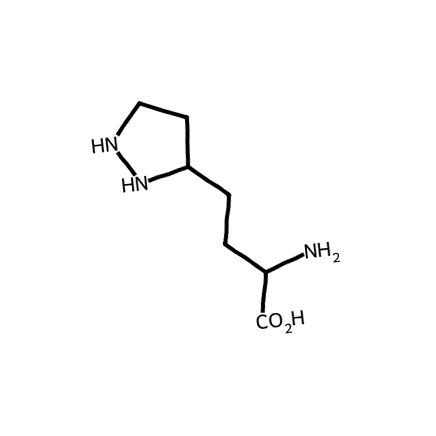 NC(CCC1CCNN1)C(=O)O